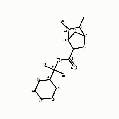 CC1C2CC(C(=O)OC(C)(C)C3CCCCC3)C(C2)C1C